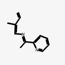 C=C/C(C)=C\N=C(/C)c1ccccn1